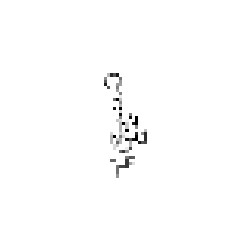 FC(F)(F)c1cnc(-n2cc(OCc3ccccc3)cn2)c(Cl)c1